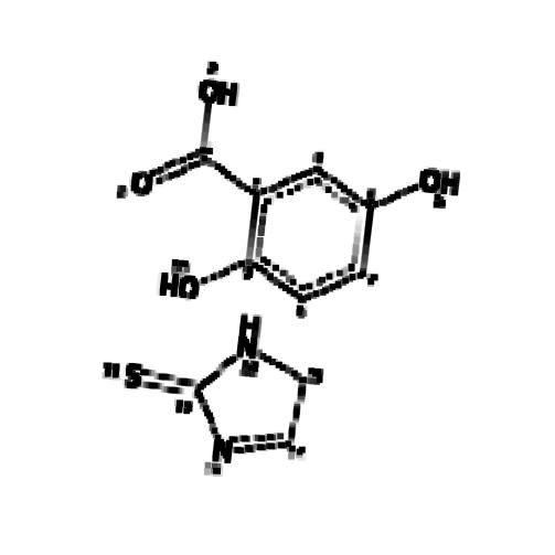 O=C(O)c1cc(O)ccc1O.S=C1N=CCN1